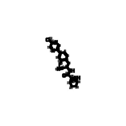 N#CC(Cc1ccc(-c2cnc(Cl)cn2)cc1F)NC(=O)[C@H]1NC2CCC1C2